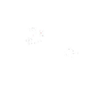 CCCO[Si](CCCCCCc1ccc(F)cc1)(OCCC)OCCC